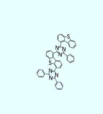 c1ccc(-c2nc(-c3ccccc3)nc(-c3cccc4c3sc3cccc(-c5nc(-c6ccccc6)nc(-c6cccc7sc8ccccc8c67)n5)c34)n2)cc1